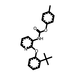 Cc1ccc(OC(=O)Nc2cccnc2Oc2ccccc2C(C)(C)C)cc1